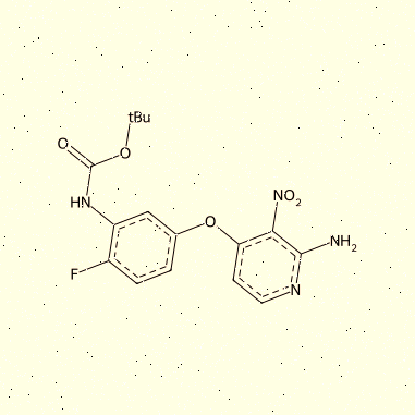 CC(C)(C)OC(=O)Nc1cc(Oc2ccnc(N)c2[N+](=O)[O-])ccc1F